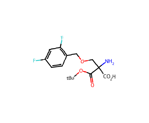 CC(C)(C)OC(=O)C(N)(COCc1ccc(F)cc1F)C(=O)O